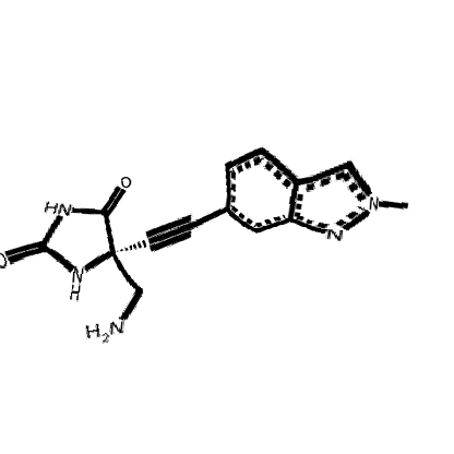 Cn1cc2ccc(C#C[C@]3(CN)NC(=O)NC3=O)cc2n1